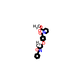 COC(=O)C1CCCCN1C(=O)c1ccc(OCCc2nc(-c3ccccc3)oc2C)cc1